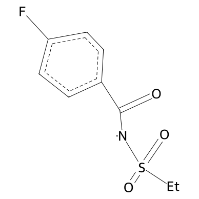 CCS(=O)(=O)[N]C(=O)c1ccc(F)cc1